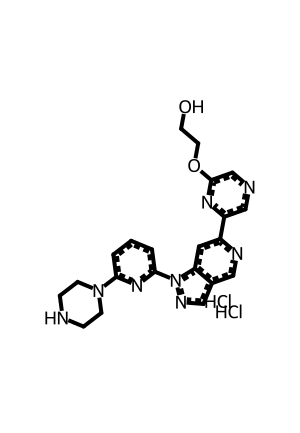 Cl.Cl.OCCOc1cncc(-c2cc3c(cn2)cnn3-c2cccc(N3CCNCC3)n2)n1